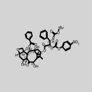 CC(=O)O[C@@]12CO[C@@H]1C[C@H](O)[C@@]1(C)C(=O)[C@H](O)C3=C(C)[C@@H](OC(=O)[C@H](OC(=O)Oc4ccc([N+](=O)[O-])cc4)[C@@H](NC(=O)OC(C)(C)C)c4ccccc4)C[C@@](O)([C@@H](OC(=O)c4ccccc4)[C@H]21)C3(C)C